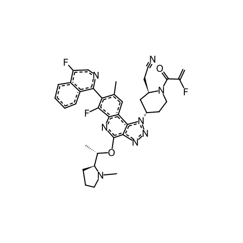 C=C(F)C(=O)N1CC[C@H](n2nnc3c(O[C@@H](C)[C@@H]4CCCN4C)nc4c(F)c(-c5ncc(F)c6ccccc56)c(C)cc4c32)C[C@H]1CC#N